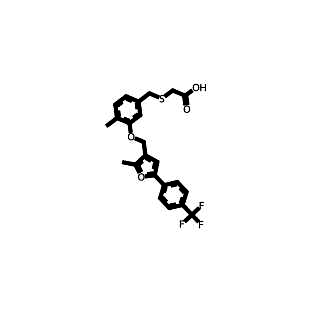 Cc1ccc(CSCC(=O)O)cc1OCc1cc(-c2ccc(C(F)(F)F)cc2)oc1C